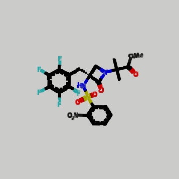 COC(=O)C(C)(C)N1C[C@](Cc2c(F)c(F)c(F)c(F)c2F)(NS(=O)(=O)c2ccccc2[N+](=O)[O-])C1=O